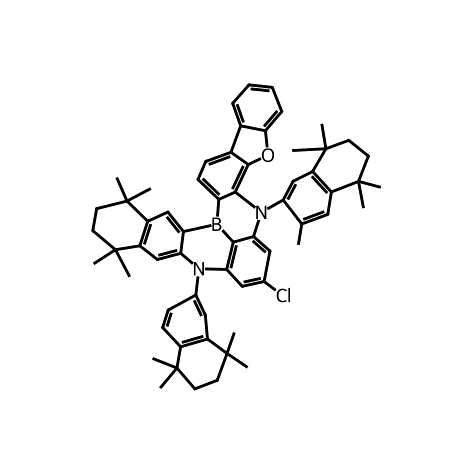 Cc1cc2c(cc1N1c3cc(Cl)cc4c3B(c3cc5c(cc3N4c3ccc4c(c3)C(C)(C)CCC4(C)C)C(C)(C)CCC5(C)C)c3ccc4c(oc5ccccc54)c31)C(C)(C)CCC2(C)C